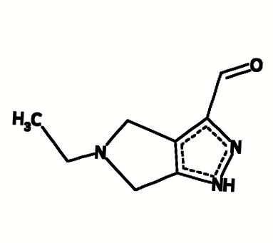 CCN1Cc2[nH]nc(C=O)c2C1